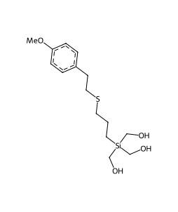 COc1ccc(CCSCCC[Si](CO)(CO)CO)cc1